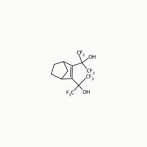 OC(C1=C(C(O)(C(F)(F)F)C(F)(F)F)C2CCC1C2)(C(F)(F)F)C(F)(F)F